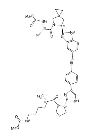 COC(=O)NCCCC[C@H](C)C(=O)N1CCC[C@H]1c1nc(-c2ccc(C#Cc3ccc4[nH]c([C@@H]5CC6(CC6)CN5C(=O)[C@@H](NC(=O)OC)C(C)C)nc4c3)cc2)c[nH]1